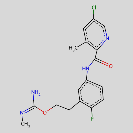 C/N=C(/N)OCCc1cc(NC(=O)c2ncc(Cl)cc2C)ccc1F